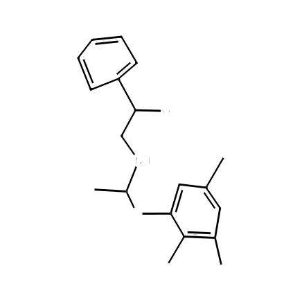 Cc1cc(C)c(C)c(OC(C)NCC(O)c2ccccc2)c1